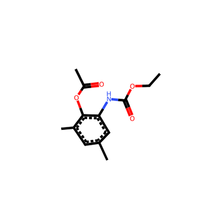 CCOC(=O)Nc1cc(C)cc(C)c1OC(C)=O